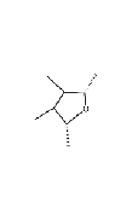 CC1C(C)[C@@H](C)O[C@H]1C